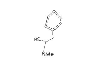 CNC(C#N)Cc1ccccc1